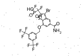 NC(=O)c1cc(OCc2cc(C(F)(F)F)cc(C(F)(F)F)c2)c2sc(C(F)(F)P(=O)(O)O)c(Br)c2c1